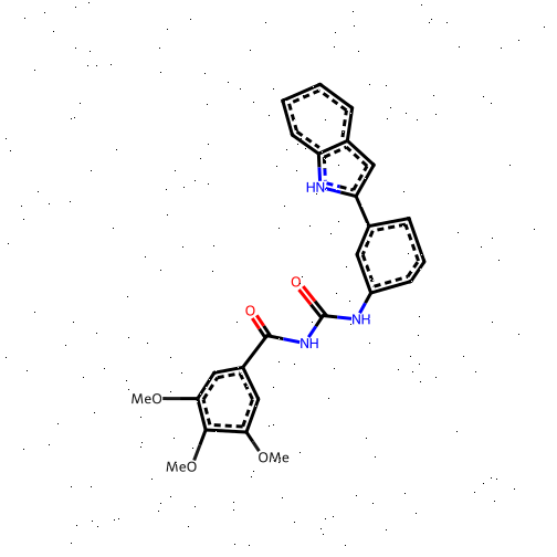 COc1cc(C(=O)NC(=O)Nc2cccc(-c3cc4ccccc4[nH]3)c2)cc(OC)c1OC